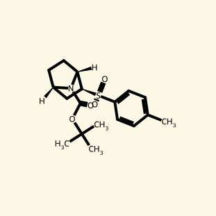 Cc1ccc(S(=O)(=O)[C@H]2C[C@@H]3CC[C@H]2N3C(=O)OC(C)(C)C)cc1